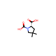 CC1(C)C[C@@H](C(=O)O)N(C(=O)O)C1